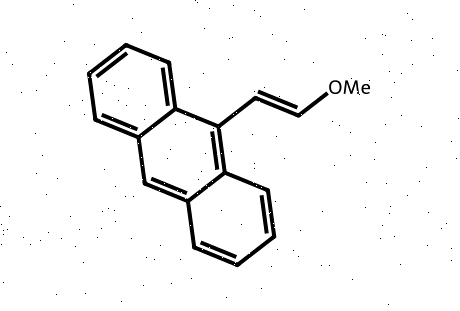 COC=Cc1c2ccccc2cc2ccccc12